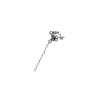 CCCCCCCCCCCCCCCCCCCCOCC(CNC(N)=O)OP(=O)([O-])OCC[N+](C)(C)C